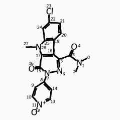 CN(C)C(=O)c1nn(-c2cc[n+]([O-])cc2)c(=O)c2c1c1ccc(Cl)cc1n2C